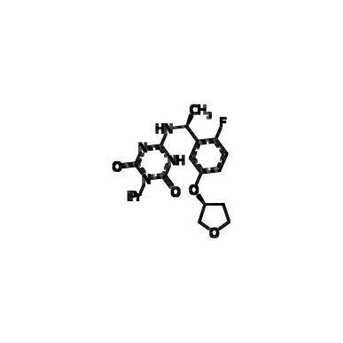 CC(C)n1c(=O)nc(N[C@@H](C)c2cc(O[C@H]3CCOC3)ccc2F)[nH]c1=O